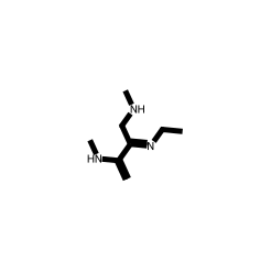 C=C(NC)C(CNC)=NCC